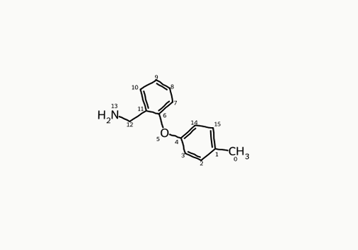 Cc1ccc(Oc2ccccc2CN)cc1